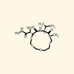 CC(C)[C@@H]1NC(=O)[C@@H](C(O)C(=O)NO)CCCCCCCCCN(C)C1=O